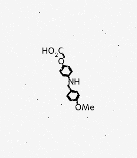 COc1ccc(CNc2ccc(OCC(=O)O)cc2)cc1